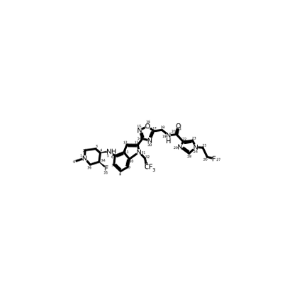 CN1CC[C@@H](Nc2cccc3c2cc(-c2noc(CNC(=O)c4cn(CCF)cn4)n2)n3CC(F)(F)F)[C@@H](F)C1